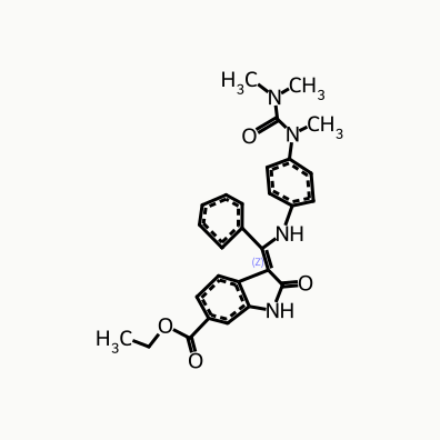 CCOC(=O)c1ccc2c(c1)NC(=O)/C2=C(\Nc1ccc(N(C)C(=O)N(C)C)cc1)c1ccccc1